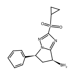 B[C@H]1C[C@@H](c2ccccc2)n2nc(S(=O)(=O)C3CC3)nc21